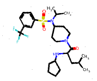 CC(C)CC(NC1CCCC1)C(=O)N1CCC(N(C(C)C)S(=O)(=O)c2cccc(C(F)(F)F)c2)CC1